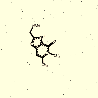 CNCc1nc2cc(C)n(C)c(=O)c2[nH]1